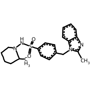 Cc1nc2ccccc2n1Cc1ccc(S(=O)(=O)NN2CCCCC2C)cc1